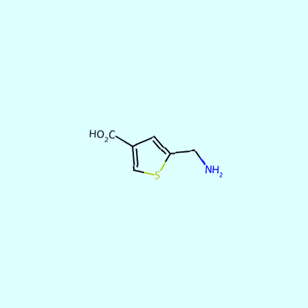 NCc1cc(C(=O)O)cs1